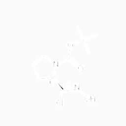 CC(C)(C)OC(=O)N1CCC[C@@H]1/C(Cl)=N/O